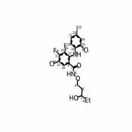 CCC(O)CCONC(=O)c1cc(Cl)c(F)c(F)c1Nc1ccc(I)cc1Cl